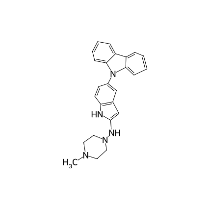 CN1CCN(Nc2cc3cc(-n4c5ccccc5c5ccccc54)ccc3[nH]2)CC1